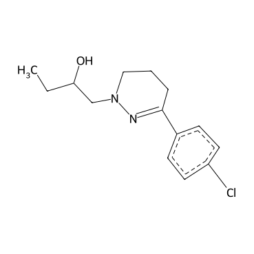 CCC(O)CN1CCCC(c2ccc(Cl)cc2)=N1